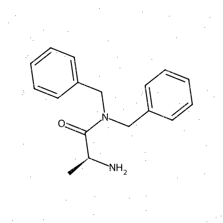 C[C@H](N)C(=O)N(Cc1ccccc1)Cc1ccccc1